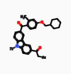 CCn1c2ccc(C(=O)CC(C)=O)cc2c2cc(C(=O)c3ccc(OCC4CCCCC4)cc3C)ccc21